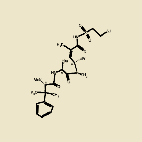 CN[C@H](C(=O)N[C@H](C(=O)N(C)[C@H](C=C(C)C(=O)NS(=O)(=O)CCS)C(C)C)C(C)(C)C)C(C)(C)c1ccccc1